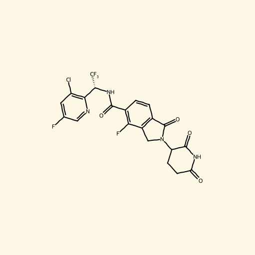 O=C1CCC(N2Cc3c(ccc(C(=O)N[C@H](c4ncc(F)cc4Cl)C(F)(F)F)c3F)C2=O)C(=O)N1